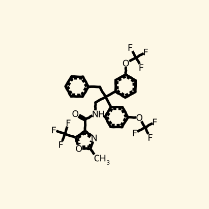 Cc1nc(C(=O)NCC(Cc2ccccc2)(c2cccc(OC(F)(F)F)c2)c2cccc(OC(F)(F)F)c2)c(C(F)(F)F)o1